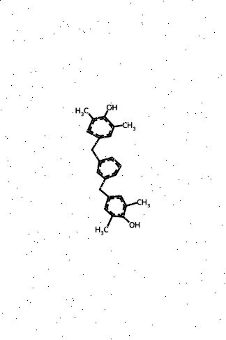 Cc1cc(Cc2cccc(Cc3cc(C)c(O)c(C)c3)c2)cc(C)c1O